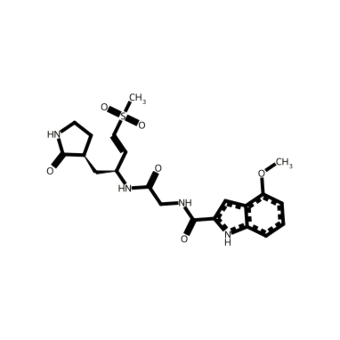 COc1cccc2[nH]c(C(=O)NCC(=O)N[C@H](/C=C/S(C)(=O)=O)C[C@@H]3CCNC3=O)cc12